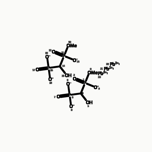 COP(=O)([O-])C(O)P(=O)([O-])[O-].COP(=O)([O-])C(O)P(=O)([O-])[O-].[Pb+2].[Pb+2].[Pb+2]